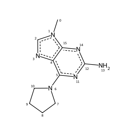 Cn1cnc2c(N3CCCC3)nc(N)nc21